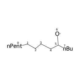 CCCCCCCCCC([O])CCCC